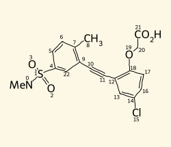 CNS(=O)(=O)c1ccc(C)c(C#Cc2cc(Cl)ccc2OCC(=O)O)c1